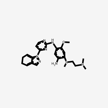 COc1cc(N(C)CCN(C)C)c(N)cc1Nc1nccc(-n2ncc3c2=CCCC=3)n1